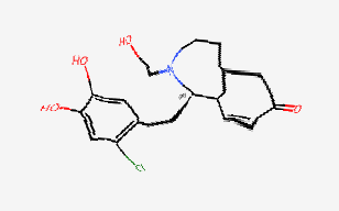 O=C1C=CC2C(CCN(CO)[C@@H]2Cc2cc(O)c(O)cc2Cl)C1